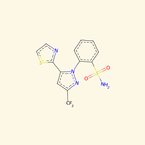 NS(=O)(=O)c1ccccc1-n1nc(C(F)(F)F)cc1-c1nccs1